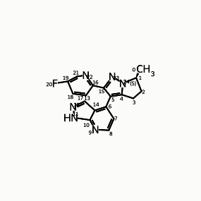 C[C@H]1CCc2c(-c3ccnc4[nH]ncc34)c(-c3ccc(F)cn3)nn21